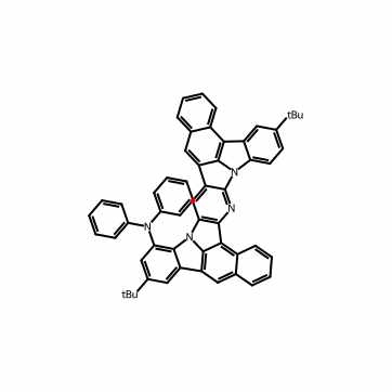 CC(C)(C)c1ccc2c(c1)c1c3ccccc3cc3c4cc5c(nc4n2c31)c1c2ccccc2cc2c3cc(C(C)(C)C)cc(N(c4ccccc4)c4ccccc4)c3n5c21